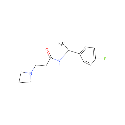 O=C(CCN1CCC1)NC(c1ccc(F)cc1)C(F)(F)F